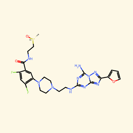 C[S@@+]([O-])CCNC(=O)c1cc(N2CCN(CCNc3nc(N)n4nc(-c5ccco5)nc4n3)CC2)c(F)cc1F